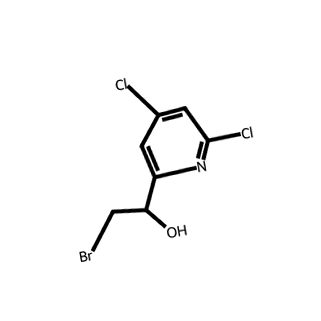 OC(CBr)c1cc(Cl)cc(Cl)n1